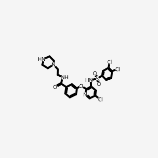 O=C(NCCN1CCNCC1)c1cccc(Oc2ncc(Cl)cc2NS(=O)(=O)c2ccc(Cl)c(Cl)c2)c1